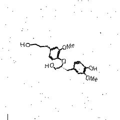 COc1cc(C[C@H](CO)Oc2ccc(CCCO)cc2OC)ccc1O